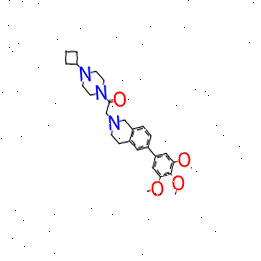 COc1cc(-c2ccc3c(c2)CCN(CC(=O)N2CCN(C4CCC4)CC2)C3)cc(OC)c1OC